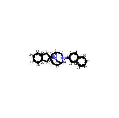 C1=C\CC2CN(c3ccc4ccccc4c3)C(C/1)CN2C1Cc2ccccc2C1